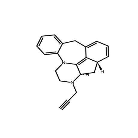 C#CCN1CCN2C3=C4C(=CC=C[C@@H]4C[C@H]31)Cc1ccccc12